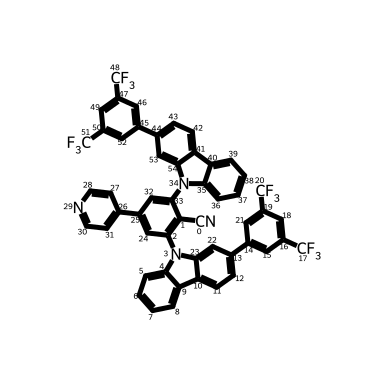 N#Cc1c(-n2c3ccccc3c3ccc(-c4cc(C(F)(F)F)cc(C(F)(F)F)c4)cc32)cc(-c2ccncc2)cc1-n1c2ccccc2c2ccc(-c3cc(C(F)(F)F)cc(C(F)(F)F)c3)cc21